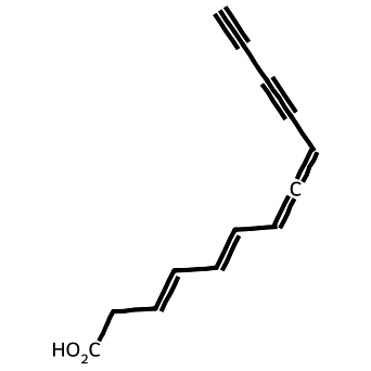 C#CC#CC=C=CC=CC=CCC(=O)O